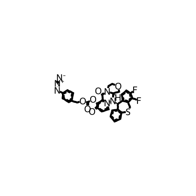 [N-]=[N+]=Nc1ccc(COC(=O)Oc2c3n(ccc2=O)N([C@@H]2c4ccccc4SCc4c2ccc(F)c4F)[C@@H]2COCCN2C3=O)cc1